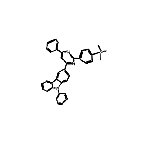 C[Si](C)(C)c1ccc(-c2nc(-c3ccccc3)cc(-c3ccc4c(c3)c3ccccc3n4-c3ccccc3)n2)cc1